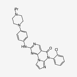 CC(C)N1CCN(c2ccc(Nc3ncc4c(=O)n(-c5ccccc5Cl)c5nccn5c4n3)cc2)CC1